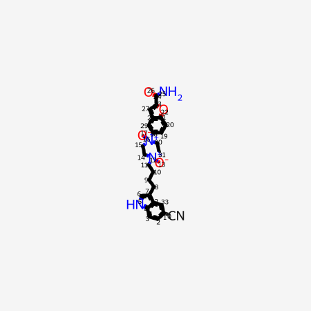 N#Cc1ccc2[nH]cc(CCCC[N+]3([O-])CC[N+]([O-])(c4ccc5oc(C(N)=O)cc5c4)CC3)c2c1